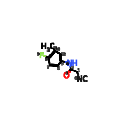 [C-]#[N+]CC(=O)Nc1ccc(F)c(C)c1